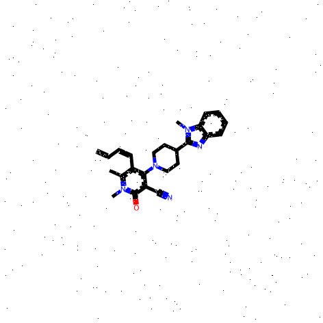 C=C/C=C\c1c(N2CCC(c3nc4ccccc4n3C)CC2)c(C#N)c(=O)n(C)c1C